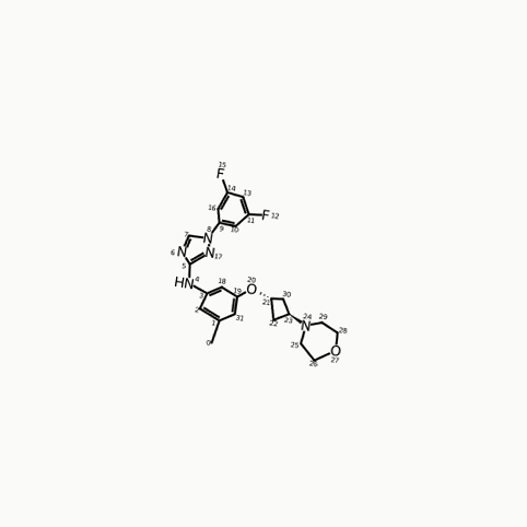 Cc1cc(Nc2ncn(-c3cc(F)cc(F)c3)n2)cc(O[C@H]2C[C@H](N3CCOCC3)C2)c1